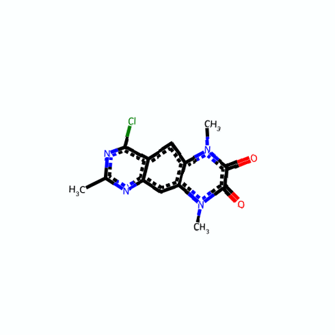 Cc1nc(Cl)c2cc3c(cc2n1)n(C)c(=O)c(=O)n3C